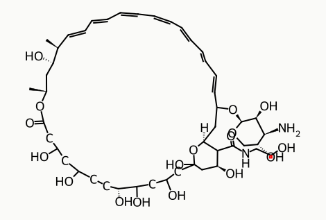 C[C@H]1C[C@H](O)[C@@H](C)/C=C/C=C/C=C/C=C/C=C/C=C/C=C/C(O[C@@H]2OC[C@@H](O)[C@H](N)[C@@H]2O)C[C@@H]2OC(O)(CC(O)CC(O)[C@H](O)CCC(O)CC(O)CC(=O)O1)C[C@H](O)C2C(=O)NCCO